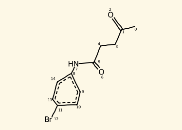 CC(=O)CCC(=O)Nc1ccc(Br)cc1